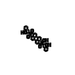 O=C1c2ccc3c4ccc5c6c(ccc(c7ccc(c2c37)C(=O)N1C(CO)Cc1ccccc1)c64)C(O)N(C(CO)Cc1ccccc1)C5=O